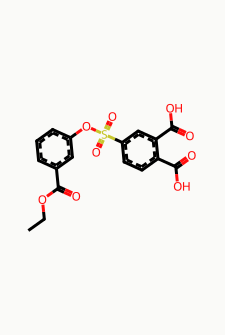 CCOC(=O)c1cccc(OS(=O)(=O)c2ccc(C(=O)O)c(C(=O)O)c2)c1